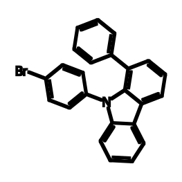 Brc1ccc(-n2c3ccccc3c3cccc(-c4ccccc4)c32)cc1